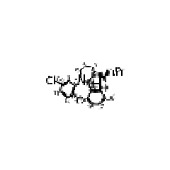 CCCN[C@H]1CCCN2c3cc(Cl)ccc3Oc3ccccc3[C@@H]12